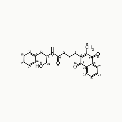 CC1=C(CCCC(=O)N[C@@H](CO)Cc2ccccc2)C(=O)c2ccccc2C1=O